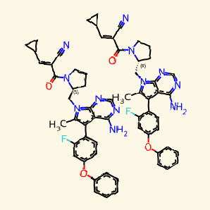 Cc1c(-c2ccc(Oc3ccccc3)cc2F)c2c(N)ncnc2n1C[C@@H]1CCCN1C(=O)C(C#N)=CC1CC1.Cc1c(-c2ccc(Oc3ccccc3)cc2F)c2c(N)ncnc2n1C[C@H]1CCCN1C(=O)C(C#N)=CC1CC1